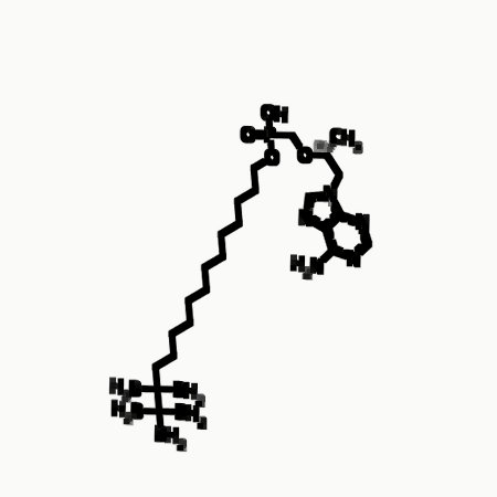 BC(B)(B)C(B)(B)CCCCCCCCCCCCCOP(=O)(O)CO[C@H](C)Cn1cnc2c(N)ncnc21